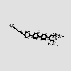 C=CCC/C=C/C1COC(c2ccc(-c3ccc(C4CC(C)(C)N(OCCCC)C(C)(C)C4)cc3)c(F)c2)OC1